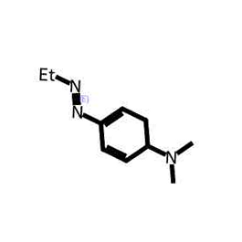 CC/N=N/C1=CCC(N(C)C)C=C1